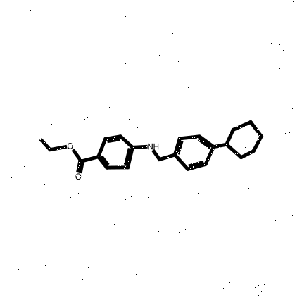 CCOC(=O)c1ccc(NCc2ccc(C3CCCCC3)cc2)cc1